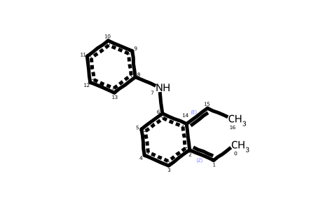 C/C=c1/cccc(Nc2ccccc2)/c1=C/C